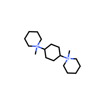 C[N+]1(C2CCC([N+]3(C)CCCCC3)CC2)CCCCC1